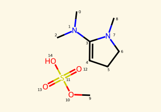 CN(C)C1=CCCN1C.COS(=O)(=O)O